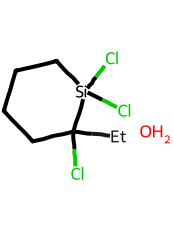 CCC1(Cl)CCCC[Si]1(Cl)Cl.O